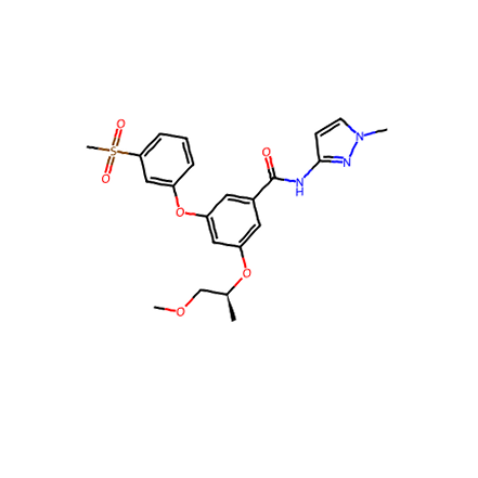 COC[C@H](C)Oc1cc(Oc2cccc(S(C)(=O)=O)c2)cc(C(=O)Nc2ccn(C)n2)c1